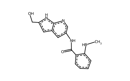 CBc1ccccc1C(=O)Nc1cnc2[nH]c(CO)cc2c1